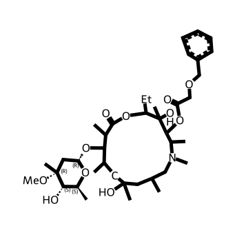 CCC1OC(=O)C(C)C(O[C@H]2C[C@@](C)(OC)[C@@H](O)[C@H](C)O2)C(C)CC(C)(O)CC(C)CN(C)C(C)C(OC(=O)COCc2ccccc2)C1(C)O